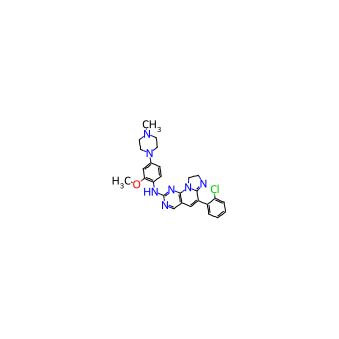 COc1cc(N2CCN(C)CC2)ccc1Nc1ncc2c(n1)N1CCN=C1C(c1ccccc1Cl)=C2